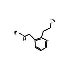 CC(C)CCc1[c]cccc1CNC(C)C